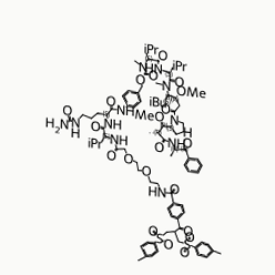 CC[C@H](C)[C@H]([C@@H](CC(=O)N1CCC[C@H]1[C@H](OC)[C@@H](C)C(=O)N[C@H](C)[C@@H](O)c1ccccc1)OC)N(C)C(=O)[C@@H](NC(=O)[C@H](C(C)C)N(C)C(=O)OCc1ccc(NC(=O)[C@H](CCCNC(N)=O)NC(=O)[C@@H](NC(=O)COCCOCCNC(=O)c2ccc(C(=O)C(CS(=O)(=O)c3ccc(C)cc3)CS(=O)(=O)c3ccc(C)cc3)cc2)C(C)C)cc1)C(C)C